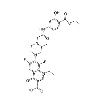 CCOC(=O)c1ccc(NC(=O)CN2CCN(c3c(F)cc4c(=O)c(C(=O)O)cn(CC)c4c3F)CC2C)cc1O